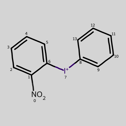 O=[N+]([O-])c1ccccc1[I+]c1ccccc1